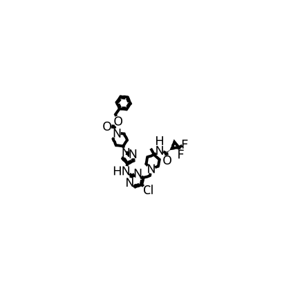 CC1(NC(=O)[C@@H]2CC2(F)F)CCN(Cc2nc(Nc3cnn(C4CCN(C(=O)OCc5ccccc5)CC4)c3)ncc2Cl)CC1